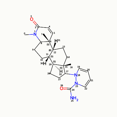 CN1C(=O)C=C[C@@]2(C)C1CC[C@@H]1[C@H]2CC[C@]2(C)C(N3C=CC=CN3C(N)=O)CC[C@@H]12